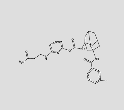 NC(=O)CCNc1cccc(OC(=O)NC23CC4CC(C2)CC(NC(=O)c2cccc(F)c2)(C4)C3)n1